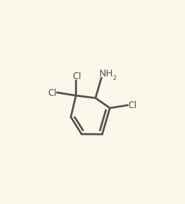 NC1C(Cl)=CC=CC1(Cl)Cl